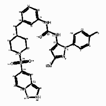 Cc1ccc(-n2nc(C(C)(C)C)cc2NC(=O)Nc2cccc(CC3CCN(S(=O)(=O)C4=CC5=CNSN5C=C4)CC3)c2)cc1